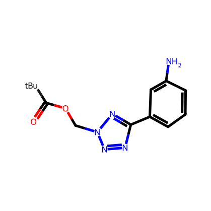 CC(C)(C)C(=O)OCn1nnc(-c2cccc(N)c2)n1